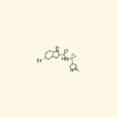 CCc1ccc2[nH]c(C(=O)NC3(c4cnn(C)c4)CC3)cc2c1